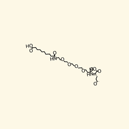 O=[C]CC[C@H](NC(=O)CCOCCOCCOCCOCCNC(=O)CCCCCCCCC(=O)O)C(=O)O